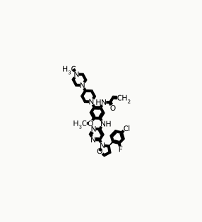 C=CC(=O)Nc1cc(Nc2cc(N3OCC[C@@H]3c3ccc(Cl)cc3F)ncn2)c(OC)cc1N1CCC(N2CCN(C)CC2)CC1